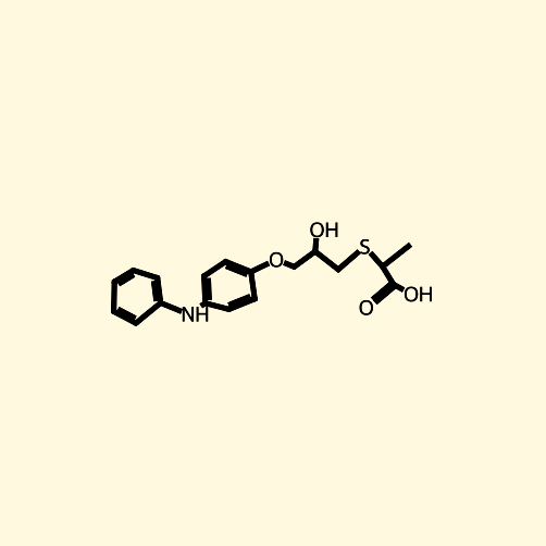 CC(SCC(O)COc1ccc(Nc2ccccc2)cc1)C(=O)O